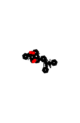 c1ccc(-c2nc(-c3ccccc3)nc(-c3cccc(-c4cccc5c4Sc4ccccc4C54c5ccccc5-n5c6ccccc6c6cccc4c65)c3)n2)cc1